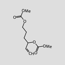 [CH]=CC(CCCOC(=O)OC)OC(=O)OC